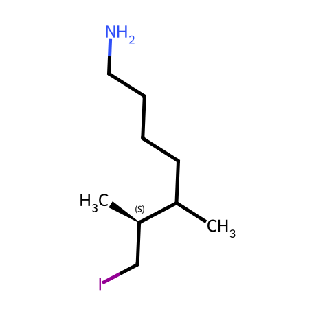 CC(CCCCN)[C@H](C)CI